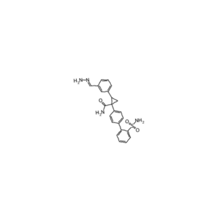 NN=Cc1cccc(C2CC2(C(N)=O)c2ccc(-c3ccccc3S(N)(=O)=O)cc2)c1